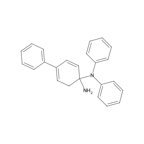 NC1(N(c2ccccc2)c2ccccc2)C=CC(c2ccccc2)=CC1